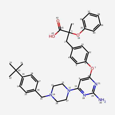 CC(Cc1ccc(Oc2cc(N3CCN(Cc4ccc(C(C)(C)C)cc4)CC3)nc(N)n2)cc1)(Oc1ccccc1)C(=O)O